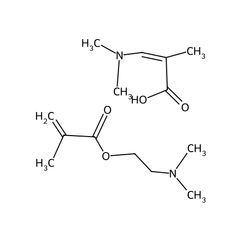 C=C(C)C(=O)OCCN(C)C.CC(=CN(C)C)C(=O)O